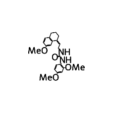 COc1ccc(NC(=O)NC/C=C2/CCCc3ccc(OC)cc32)c(OC)c1